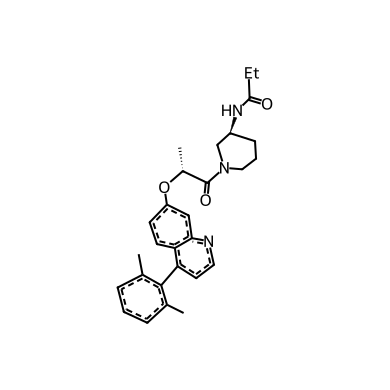 CCC(=O)N[C@H]1CCCN(C(=O)[C@@H](C)Oc2ccc3c(-c4c(C)cccc4C)ccnc3c2)C1